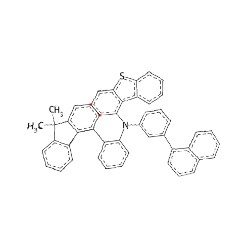 CC1(C)c2ccccc2-c2c(-c3ccccc3N(c3cccc(-c4cccc5ccccc45)c3)c3cccc4sc5ccccc5c34)cccc21